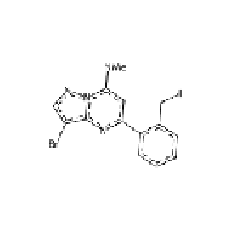 CNc1cc(-c2ccccc2CI)nc2c(Br)cnn12